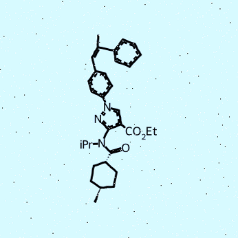 CCOC(=O)c1cn(-c2ccc(C=C(C)c3ccccc3)cc2)nc1N(C(=O)[C@H]1CC[C@H](C)CC1)C(C)C